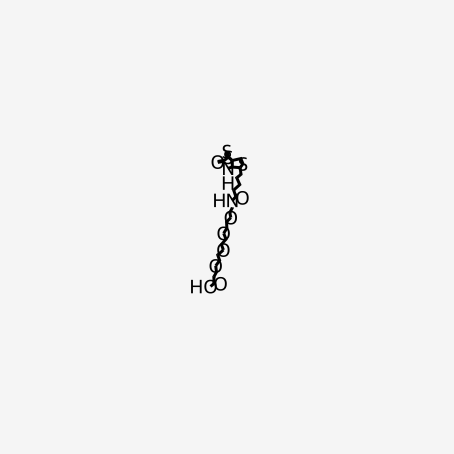 O=C(O)CCOCCOCCOCCOCCNC(=O)CCCCC1SCC2C1NC(=O)S2=S